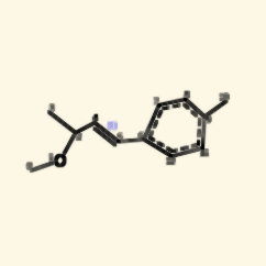 COC(C)/C=C/c1ccc(C)cc1